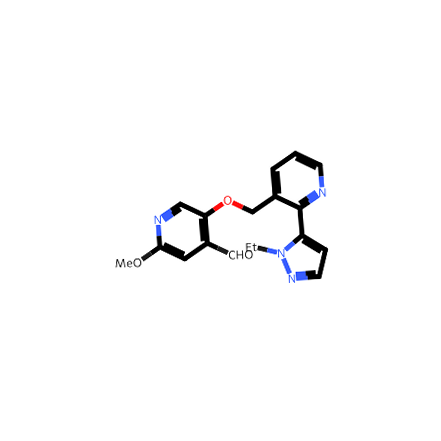 CCn1nccc1-c1ncccc1COc1cnc(OC)cc1C=O